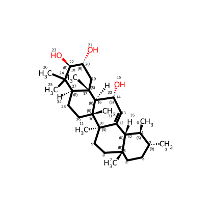 C[C@H]1[C@H](C)CC[C@]2(C)CC[C@]3(C)C(=C[C@@H](O)[C@@H]4[C@@]5(C)C[C@@H](O)[C@H](O)C(C)(C)[C@@H]5CC[C@]43C)[C@H]12